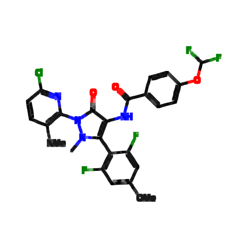 CNc1ccc(Cl)nc1-n1c(=O)c(NC(=O)c2ccc(OC(F)F)cc2)c(-c2c(F)cc(OC)cc2F)n1C